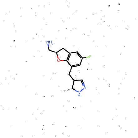 C[C@H]1NN=CC1Cc1cc(F)cc2c1OC(CN)C2